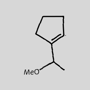 COC(C)C1=[C]CCC1